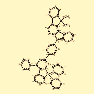 CC1(C)c2ccccc2-c2ccc3c(c21)c1ccccc1n3-c1ccc(-c2nc(-c3ccccc3)c3c(n2)[Si](c2ccccc2)(c2ccccc2)c2ccccc2-3)cc1